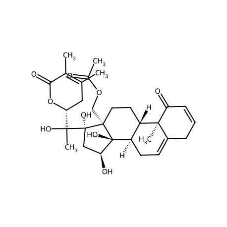 CC(=O)OC[C@]12CC[C@H]3[C@@H](CC=C4CC=CC(=O)[C@@]43C)[C@]1(O)[C@@H](O)C[C@@]2(O)C(C)(O)[C@H]1CC(C)=C(C)C(=O)O1